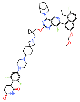 CCc1c(F)ccc2cc(OCOC)cc(-c3ncc4c(N5CC6CCC(C6)C5)nc(OCC5(CN6CC7(CCC(N8CCN(c9cc(F)c(C%10CCC(=O)NC%10=O)c(F)c9)CC8)CC7)C6)CC5)nc4c3F)c12